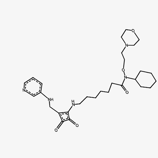 O=C(CCCCCCNc1c(CNc2cccnc2)c(=O)c1=O)N(OCCN1CCOCC1)C1CCCCC1